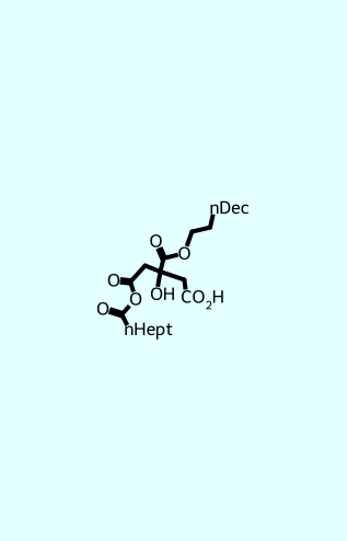 CCCCCCCCCCCCOC(=O)C(O)(CC(=O)O)CC(=O)OC(=O)CCCCCCC